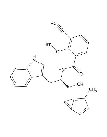 C#Cc1cccc(C(=O)N[C@@H](CO)Cc2c[nH]c3ccccc23)c1OC(C)C.Cc1ccc2cc1-2